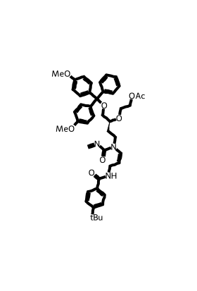 C=NC(=O)N(/C=C\CNC(=O)c1ccc(C(C)(C)C)cc1)CC[C@@H](COC(c1ccccc1)(c1ccc(OC)cc1)c1ccc(OC)cc1)OCCOC(C)=O